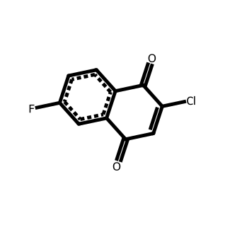 O=C1C=C(Cl)C(=O)c2ccc(F)cc21